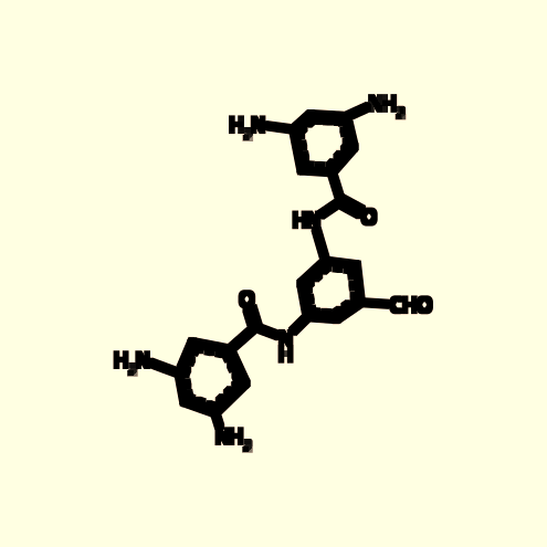 Nc1cc(N)cc(C(=O)Nc2cc(C=O)cc(NC(=O)c3cc(N)cc(N)c3)c2)c1